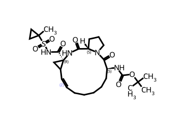 CC(C)(C)OC(=O)N[C@H]1CCCCC/C=C\C2C[C@@]2(C(=O)NS(=O)(=O)C2(C)CC2)NC(=O)[C@@H]2CCCN2C1=O